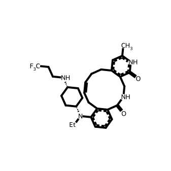 CCN(c1cccc2c1CC=CCCc1cc(C)[nH]c(=O)c1CNC2=O)[C@H]1CC[C@@H](NCCC(F)(F)F)CC1